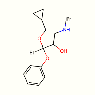 CCC(OCC1CC1)(Oc1ccccc1)C(O)CNC(C)C